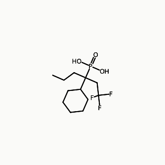 CCCC(CC(F)(F)F)(C1CCCCC1)P(=O)(O)O